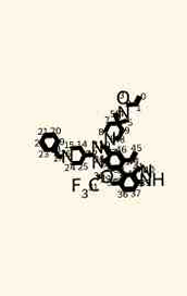 C=CC(=O)N1CC2(CCN(c3nc(C4CCN(Cc5ccccc5)CC4)nc4c(OCC(F)(F)F)c(-c5c(C)ccc6[nH]ncc56)c(C=C)cc34)CC2)C1